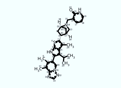 Cc1c(-c2[nH]c3sc([C@@H]4C[C@@H]5C[C@H]4CN5Cc4ccc[nH]c4=O)c(C)c3c2C(C)C)cn2ncnc2c1C